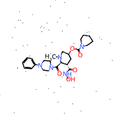 CN1C[C@@H](OC(=O)N2CCCCC2)C[C@H](C(=O)NO)[C@H]1C(=O)N1CCN(c2ccccc2)CC1